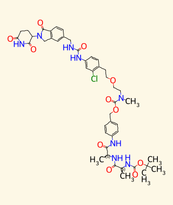 C[C@H](NC(=O)OC(C)(C)C)C(=O)N[C@@H](C)C(=O)Nc1ccc(COC(=O)N(C)CCOCCc2ccc(NC(=O)NCc3ccc4c(c3)CN(C3CCC(=O)NC3=O)C4=O)cc2Cl)cc1